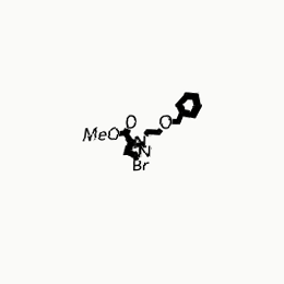 COC(=O)c1cc(Br)nn1CCOCc1ccccc1